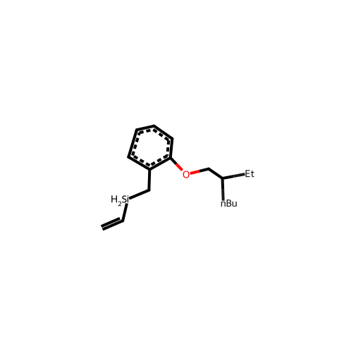 C=C[SiH2]Cc1ccccc1OCC(CC)CCCC